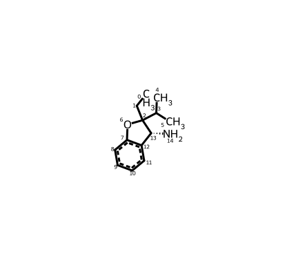 CCC1(C(C)C)Oc2ccccc2[C@H]1N